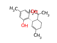 C=C(C)C1CCC(C)=C[C@@H]1c1c(O)cc(C)cc1O